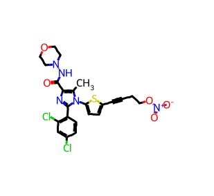 Cc1c(C(=O)NN2CCOCC2)nc(-c2ccc(Cl)cc2Cl)n1-c1ccc(C#CCCO[N+](=O)[O-])s1